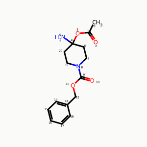 CC(=O)OC1(N)CCN(C(=O)OCc2ccccc2)CC1